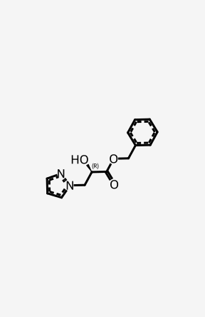 O=C(OCc1ccccc1)[C@H](O)Cn1cccn1